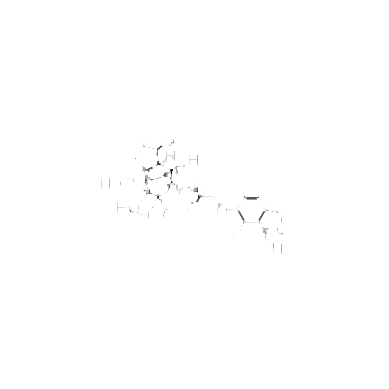 CC[C@]1(C)C[C@@H](OC(=O)COc2ccc3c(c2F)B(O)OC3)[C@]2(C)[C@H](C)CC[C@]3(CCC(=O)[C@H]32)[C@@H](C)[C@@H]1O